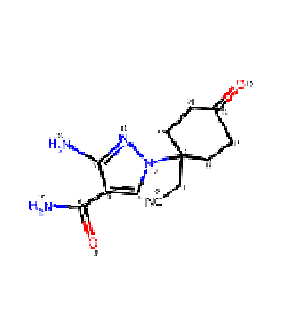 N#CCC1(n2cc(C(N)=O)c(N)n2)CCC(=O)CC1